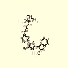 Cc1nn2ccccc2c1-c1nc(Br)c(-c2ncn(COCC[Si](C)(C)C)n2)s1